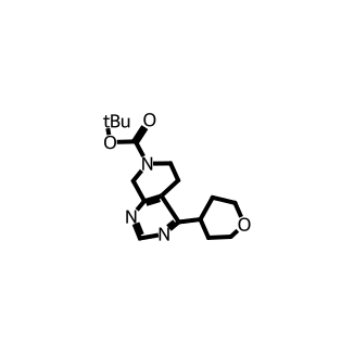 CC(C)(C)OC(=O)N1CCc2c(ncnc2C2CCOCC2)C1